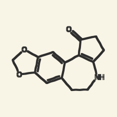 O=C1CCC2=C1c1cc3c(cc1CCN2)OCO3